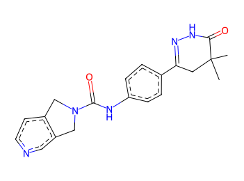 CC1(C)CC(c2ccc(NC(=O)N3Cc4ccncc4C3)cc2)=NNC1=O